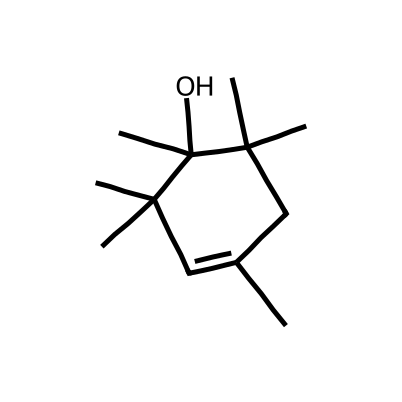 CC1=CC(C)(C)C(C)(O)C(C)(C)C1